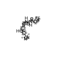 Cc1ncnc(C)c1-c1ccc(C2(O)CCC(N3CC[C@@H](NC(=O)CNC(=O)c4cccc(C(F)(F)F)c4)C3)CC2)cc1